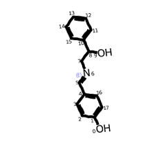 Oc1ccc(/C=N/CC(O)c2ccccc2)cc1